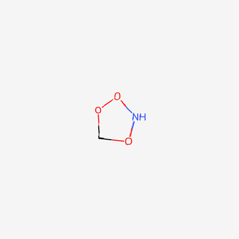 C1ONOO1